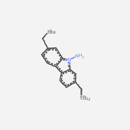 CC(C)(C)Cc1ccc2c3ccc(CC(C)(C)C)cc3n(N)c2c1